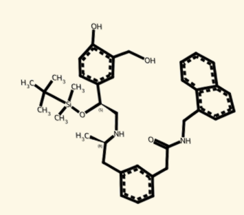 C[C@H](Cc1cccc(CC(=O)NCc2cccc3ccccc23)c1)NC[C@@H](O[Si](C)(C)C(C)(C)C)c1ccc(O)c(CO)c1